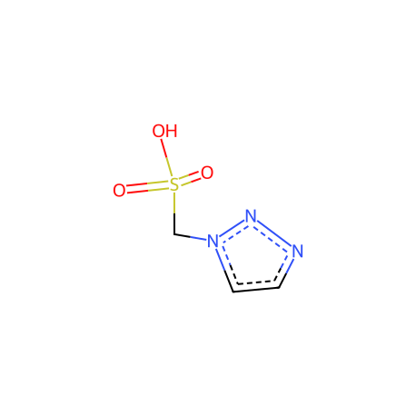 O=S(=O)(O)Cn1ccnn1